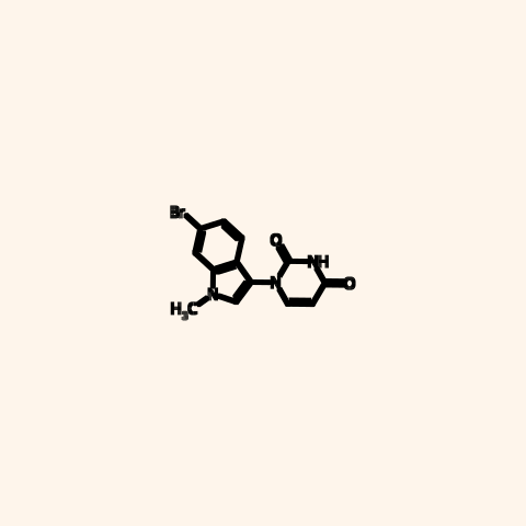 Cn1cc(-n2ccc(=O)[nH]c2=O)c2ccc(Br)cc21